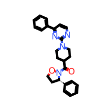 O=C(C1CCN(c2nccc(-c3ccccc3)n2)CC1)N1OCC[C@H]1c1ccccc1